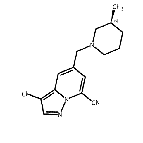 C[C@H]1CCCN(Cc2cc(C#N)n3ncc(Cl)c3c2)C1